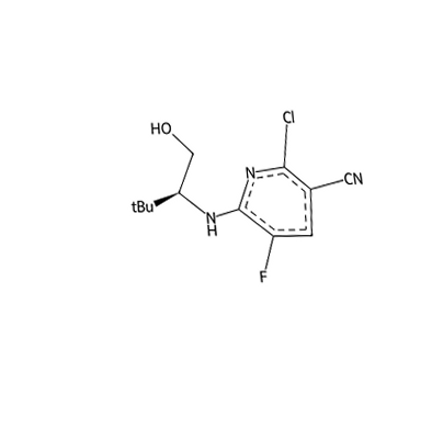 CC(C)(C)[C@@H](CO)Nc1nc(Cl)c(C#N)cc1F